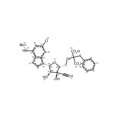 C#C[C@@]1(O)[C@@H](COC(Cc2ccccc2)(C(=O)O)C(=O)O)O[C@@H](n2cnc3c(N[C@@H](C)CC)nc(Cl)nc32)[C@@H]1O